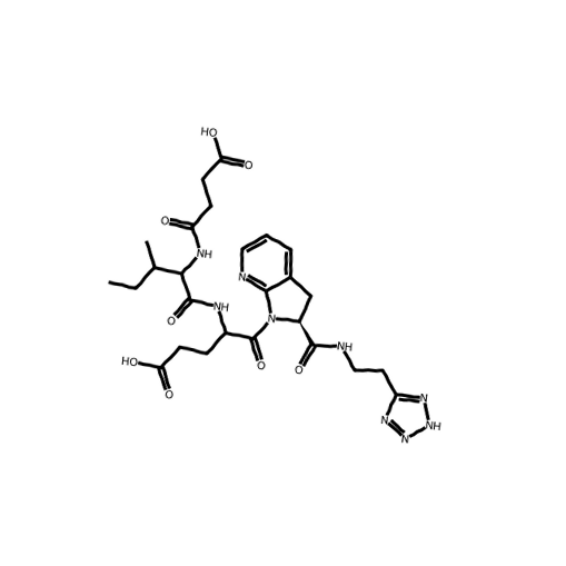 CCC(C)C(NC(=O)CCC(=O)O)C(=O)NC(CCC(=O)O)C(=O)N1c2ncccc2C[C@H]1C(=O)NCCc1nn[nH]n1